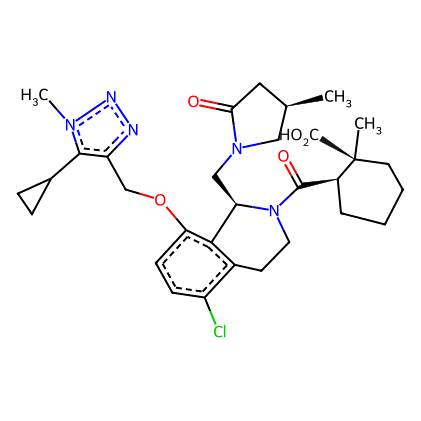 C[C@@H]1CC(=O)N(C[C@@H]2c3c(OCc4nnn(C)c4C4CC4)ccc(Cl)c3CCN2C(=O)[C@@H]2CCCC[C@]2(C)C(=O)O)C1